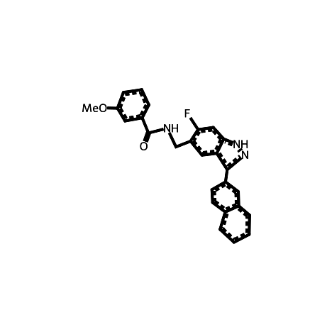 COc1cccc(C(=O)NCc2cc3c(-c4ccc5ccccc5c4)n[nH]c3cc2F)c1